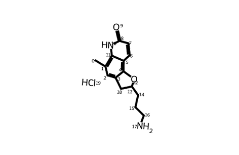 Cc1cc2c(c3ccc(=O)[nH]c13)OC(CCCN)C2.Cl